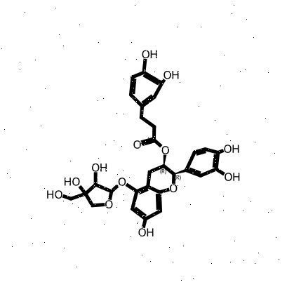 O=C(CCc1ccc(O)c(O)c1)O[C@@H]1Cc2c(OC3OCC(O)(CO)C3O)cc(O)cc2O[C@@H]1c1ccc(O)c(O)c1